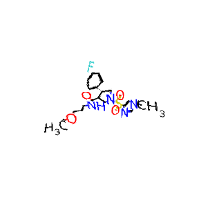 CCOCCCNC(=O)[C@@H]1CN(S(=O)(=O)c2cn(C)cn2)C[C@H]1c1ccc(F)cc1